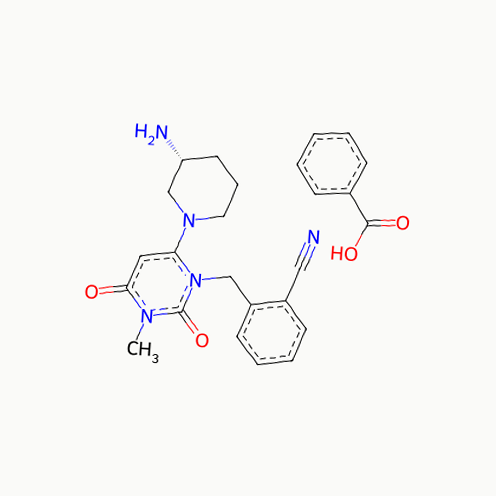 Cn1c(=O)cc(N2CCC[C@@H](N)C2)n(Cc2ccccc2C#N)c1=O.O=C(O)c1ccccc1